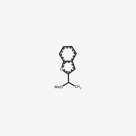 COC(C)c1cc2ccccc2o1